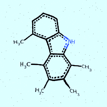 Cc1c(C)c(C)c2c([nH]c3cccc(C)c32)c1C